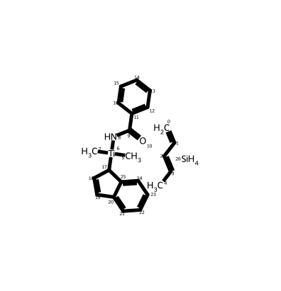 C=CC=CC.[CH3][Ti]([CH3])([NH]C(=O)c1ccccc1)[CH]1C=Cc2ccccc21.[SiH4]